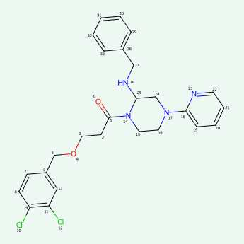 O=C(CCOCc1ccc(Cl)c(Cl)c1)N1CCN(c2ccccn2)CC1NCc1ccccc1